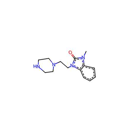 Cn1c(=O)n(CCN2CCNCC2)c2ccccc21